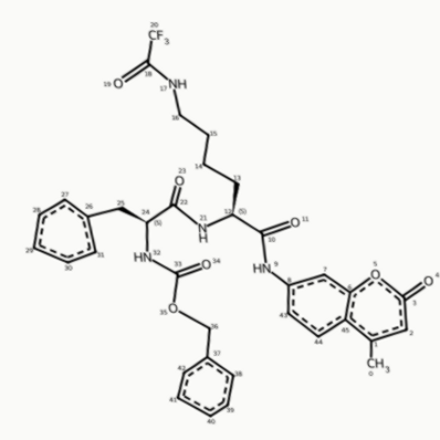 Cc1cc(=O)oc2cc(NC(=O)[C@H](CCCCNC(=O)C(F)(F)F)NC(=O)[C@H](Cc3ccccc3)NC(=O)OCc3ccccc3)ccc12